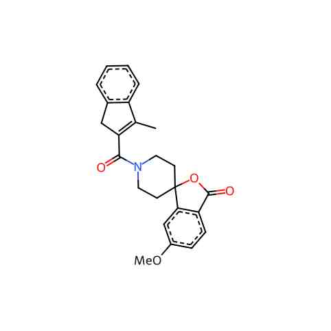 COc1ccc2c(c1)C1(CCN(C(=O)C3=C(C)c4ccccc4C3)CC1)OC2=O